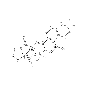 CC1(C)C=Cc2c(ccc(C3=C[C@]45NC(=O)C6(CCCN6C4=O)CC5C(C)(C)C3)c2[N+](=O)[O-])O1